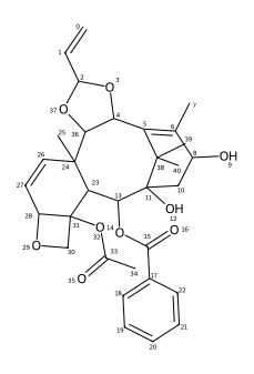 C=CC1OC2C3=C(C)C(O)CC(O)(C(OC(=O)c4ccccc4)C4C(C)(C=CC5OCC54OC(C)=O)C2O1)C3(C)C